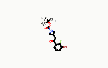 CC(C)(C)OC(=O)N1CC(CC(=O)c2cccc(Br)c2F)C1